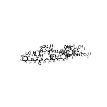 C[C@H](CCC(=O)O)[C@H]1CC[C@H]2[C@@H]3[C@H](O)C[C@@H]4C[C@@H](OCCNCCCNC(=O)C(COCc5ccccc5)N(CCN(CCN(CC(=O)O)CC(=O)O)CC(=O)O)CC(=O)O)CC[C@]4(C)[C@H]3C[C@H](O)[C@]12C